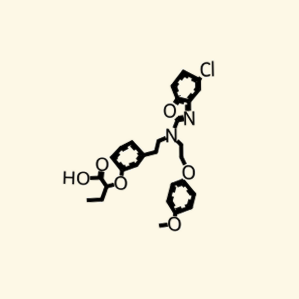 CCC(Oc1cccc(CCN(CCOc2ccc(OC)cc2)c2nc3cc(Cl)ccc3o2)c1)C(=O)O